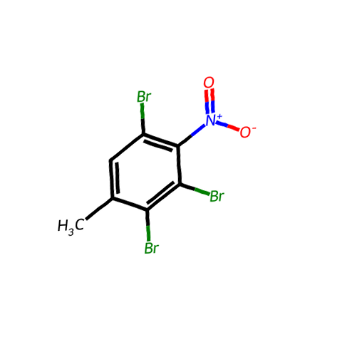 Cc1cc(Br)c([N+](=O)[O-])c(Br)c1Br